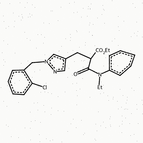 CCOC(=O)C(Cc1cnn(Cc2ccccc2Cl)c1)C(=O)N(CC)c1ccccc1